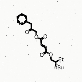 CCCCC(CC)COC(=O)/C=C/C(=O)OCC(=O)Cc1ccccc1